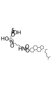 CC(C)CCCC(C)[C@H]1CCC2C3CCC4C[C@@H](OC(=O)NCCCCCC(=O)N5CC(O)C(COP(C)(O)=S)C5)CC[C@]4(C)C3CC[C@@]21C